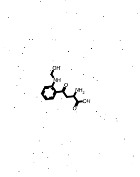 NC(CC(=O)c1ccccc1NCO)C(=O)O